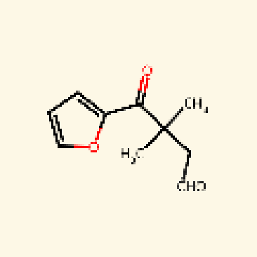 CC(C)(CC=O)C(=O)c1ccco1